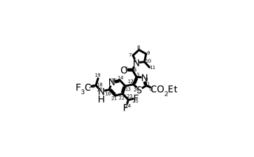 CCOC(=O)c1nc(C(=O)N2CCCC2C)c(-c2cnc(NC(C)C(F)(F)F)cc2C(F)F)s1